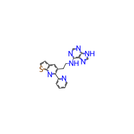 c1ccc(-c2nc3sccc3cc2CCNc2ncnc3[nH]cnc23)nc1